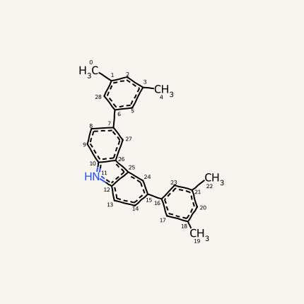 Cc1cc(C)cc(-c2ccc3[nH]c4ccc(-c5cc(C)cc(C)c5)cc4c3c2)c1